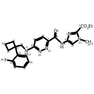 CCOC(=O)c1nc(NC(=O)c2ccc(NCC3(c4ccccc4F)CCC3)nn2)cn1C